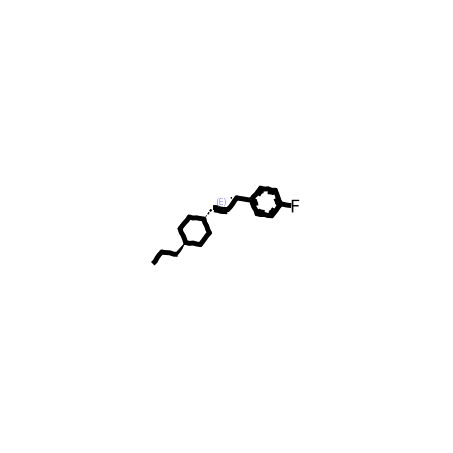 CCC[C@H]1CC[C@H](/C=C/[CH]c2ccc(F)cc2)CC1